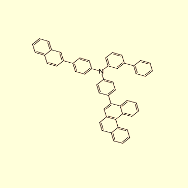 c1ccc(-c2cccc(N(c3ccc(-c4ccc5ccccc5c4)cc3)c3ccc(-c4cc5ccc6ccccc6c5c5ccccc45)cc3)c2)cc1